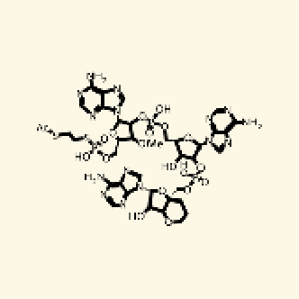 COC1C(OP(=O)(O)OC[C@H]2O[C@@H](n3cnc4c(N)ncnc43)C(OP(=O)(O)OC[C@]34CCCOC3C(O)[C@H](n3cnc5c(N)ncnc53)O4)C2O)[C@H](n2cnc3c(N)ncnc32)O[C@@H]1COP(=O)(O)SCCSC(C)=O